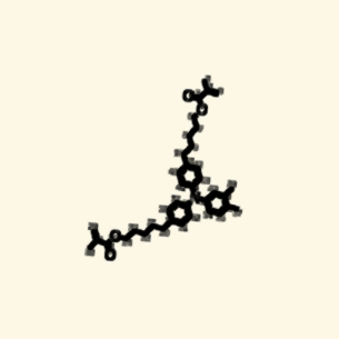 C=C(C)C(=O)OCCCCCc1ccc(N(c2ccc(CCCCCOC(=O)C(=C)C)cc2)c2ccc(C)c(C)c2)cc1